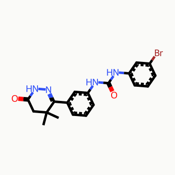 CC1(C)CC(=O)NN=C1c1cccc(NC(=O)Nc2cccc(Br)c2)c1